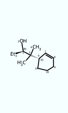 CC[C@@H](O)C(C)(C)[C@@H]1C=CCCC1